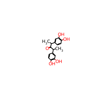 CC(C(=O)C(C)c1ccc(O)c(O)c1)c1ccc(O)c(O)c1